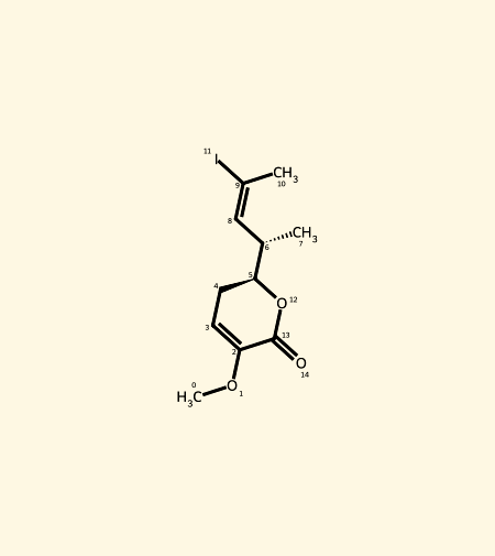 COC1=CC[C@@H]([C@@H](C)/C=C(\C)I)OC1=O